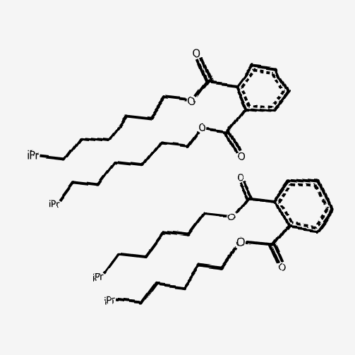 CC(C)CCCCCCOC(=O)c1ccccc1C(=O)OCCCCCCC(C)C.CC(C)CCCCCOC(=O)c1ccccc1C(=O)OCCCCCC(C)C